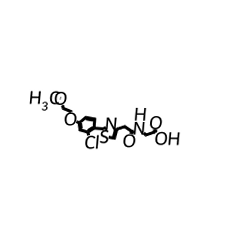 COCCOc1ccc(-c2nc(CC(=O)NCC(=O)O)cs2)c(Cl)c1